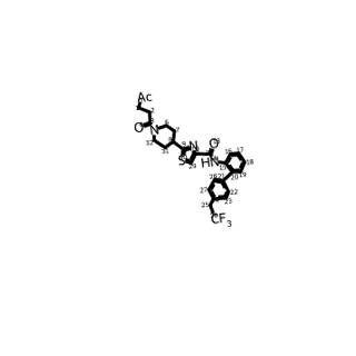 CC(=O)CCC(=O)N1CCC(c2nc(C(=O)Nc3ccccc3-c3ccc(CC(F)(F)F)cc3)cs2)CC1